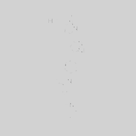 CC(=O)NCC1CN(c2ccc3c(c2)CCCc2c(-c4cc(C)n(C)n4)n[nH]c2-3)C(=O)O1